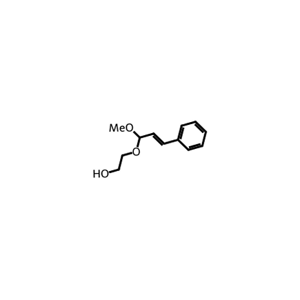 COC(C=Cc1ccccc1)OCCO